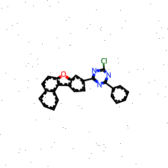 Clc1nc(-c2ccccc2)nc(-c2ccc3c(c2)oc2ccc4ccccc4c23)n1